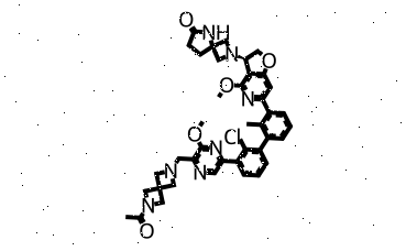 COc1nc(-c2cccc(-c3cccc(-c4cc5c(c(OC)n4)[C@@H](N4CC6(CCC(=O)N6)C4)CO5)c3C)c2Cl)cnc1CN1CC2(C1)CN(C(C)=O)C2